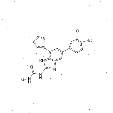 CCNC(=O)Nc1nc2cc(-c3ccn(CC)c(=O)c3)cc(-n3cccn3)c2[nH]1